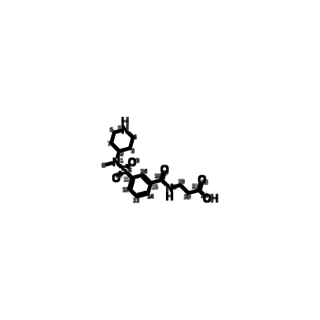 CN(C1CCNCC1)S(=O)(=O)c1cccc(C(=O)NCCC(=O)O)c1